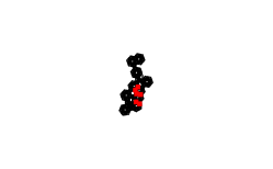 c1ccc(-c2ccccc2N(c2ccc(-c3cccc(-n4c5ccccc5c5ccccc54)c3-c3ccccc3)cc2)c2ccc(-c3cccc4ccccc34)cc2)cc1